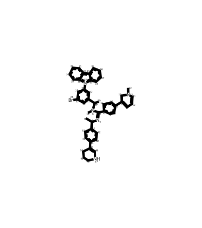 CC(/N=C(/c1ccc(C2=CC=CN(C)C2)cc1)N(C)C(C)c1cc(Br)cc(-n2c3ccccc3c3ccccc32)c1)c1ccc(C2=CNCCC2)cc1